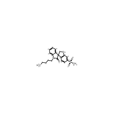 CCCCCN1C(=O)C2(COc3cc(S(C)(=O)=O)ccc32)c2ccccc21